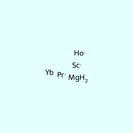 [Ho].[MgH2].[Pr].[Sc].[Yb]